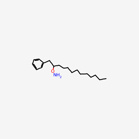 CCCCCCCCCCCC(Cc1ccccc1)ON